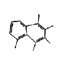 Oc1cccc2c(F)c(F)c(F)c(F)c12